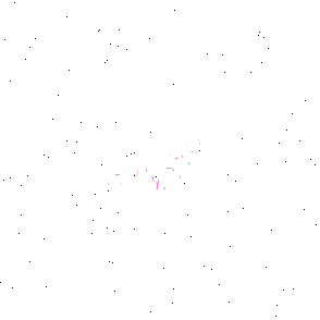 C[C@@H](OCc1ccccc1)C1CCc2c(cn(C)c2C(=O)Nc2cc(F)c(F)c(F)c2)S(=N)(=O)N1